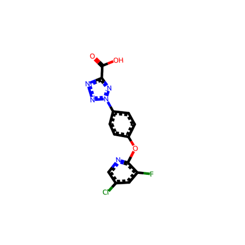 O=C(O)c1nnn(-c2ccc(Oc3ncc(Cl)cc3F)cc2)n1